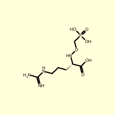 N=C(N)NCCC[C@H](NOCP(=O)(O)O)C(=O)O